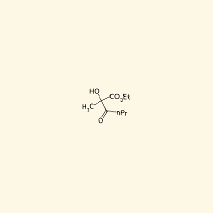 CCCC(=O)C(C)(O)C(=O)OCC